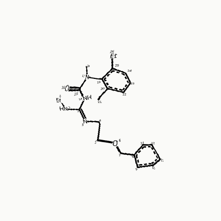 CCNC(=NCCOCc1ccccc1)NC(=O)N(C)c1c(C)cccc1CC